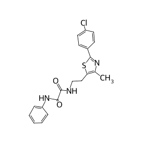 Cc1nc(-c2ccc(Cl)cc2)sc1CCNC(=O)C(=O)Nc1ccccc1